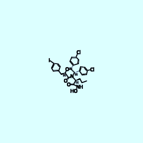 CCC[C@@H](C(=O)NO)N1C(=O)[C@@H](Cc2ccc(I)cc2)O[C@H](c2ccc(Cl)cc2)[C@@H]1c1ccc(Cl)cc1